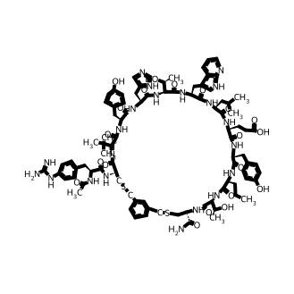 CCC[C@@H]1NC(=O)[C@H](Cc2ccc(O)cc2)NC(=O)[C@H](CCC(=O)O)NC(=O)[C@H](CC(C)C)NC(=O)[C@H](Cc2c[nH]c3ncccc23)NC(=O)[C@H]([C@@H](C)O)NC(=O)[C@H](Cc2cnc[nH]2)NC(=O)[C@H](Cc2ccc(O)cc2)NC(=O)C(C(C)(C)C)NC(=O)[C@@H](NC(=O)[C@H](Cc2ccc(NC(=N)N)cc2)NC(C)=O)CSCc2cccc(c2)CSC[C@@H](C(N)=O)NC(=O)[C@H]([C@@H](C)O)NC1=O